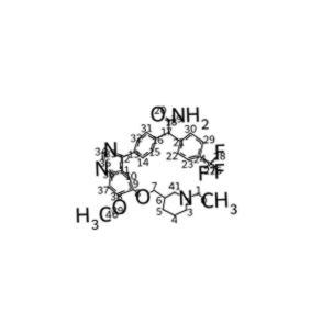 CCN1CCCC(COc2cc3c(-c4ccc(C(C(N)=O)c5ccc(C(F)(F)F)cc5)cc4)ncnc3cc2OC)C1